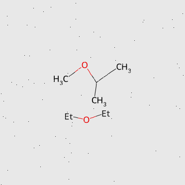 CCOCC.COC(C)C